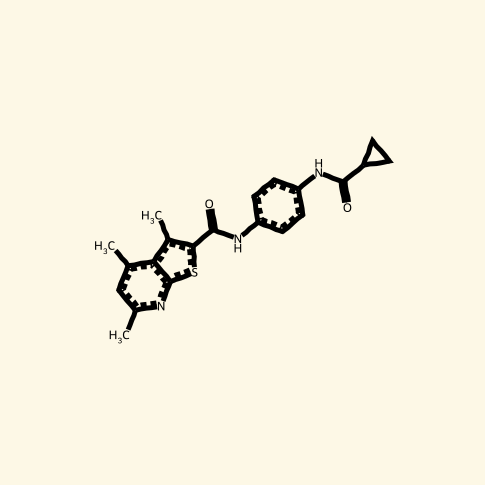 Cc1cc(C)c2c(C)c(C(=O)Nc3ccc(NC(=O)C4CC4)cc3)sc2n1